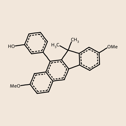 COc1ccc2c(c1)C(C)(C)c1c-2cc2ccc(OC)cc2c1-c1cccc(O)c1